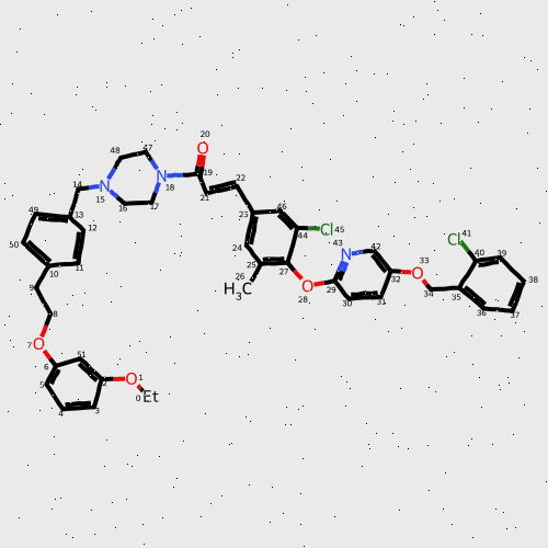 CCOc1cccc(OCCc2ccc(CN3CCN(C(=O)C=Cc4cc(C)c(Oc5ccc(OCc6ccccc6Cl)cn5)c(Cl)c4)CC3)cc2)c1